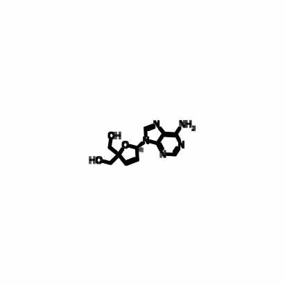 Nc1ncnc2c1ncn2[C@H]1C=CC(CO)(CO)O1